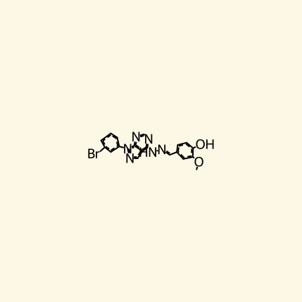 COc1cc(/C=N/Nc2ncnc3c2cnn3-c2cccc(Br)c2)ccc1O